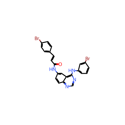 O=C(C=Cc1ccc(Br)cc1)Nc1ccc2ncnc(Nc3cccc(Br)c3)c2c1